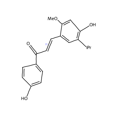 COc1cc(O)c(C(C)C)cc1/C=C/C(=O)c1ccc(O)cc1